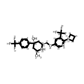 C[C@H]1C[C@@](O)(c2ccc(C(F)(F)F)cc2)C[C@@H](COc2cnc(N3CCC3)c(C(F)(F)F)c2)N1